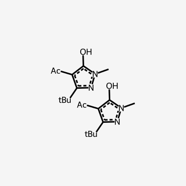 CC(=O)c1c(C(C)(C)C)nn(C)c1O.CC(=O)c1c(C(C)(C)C)nn(C)c1O